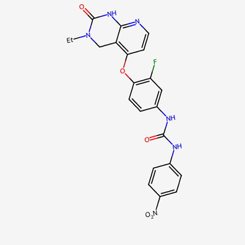 CCN1Cc2c(Oc3ccc(NC(=O)Nc4ccc([N+](=O)[O-])cc4)cc3F)ccnc2NC1=O